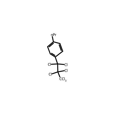 C[CH]Cc1ccc(C(Cl)(Cl)C(Cl)(Cl)C(Cl)(Cl)Cl)cc1